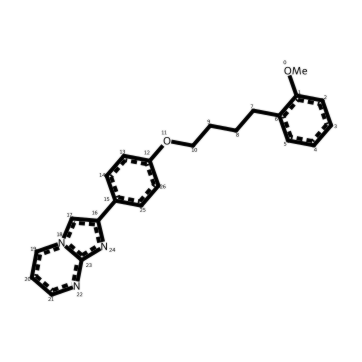 COc1ccccc1CCCCOc1ccc(-c2cn3cccnc3n2)cc1